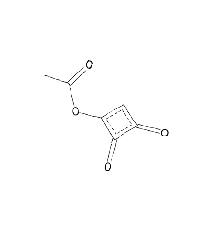 CC(=O)Oc1cc(=O)c1=O